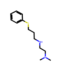 CN(C)CCNCCCSc1ccccc1